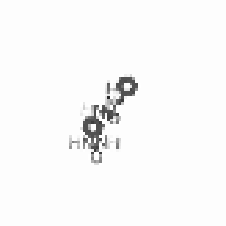 O=C(NCc1ccccc1)Nc1ccc2[nH]c(=O)[nH]c2c1